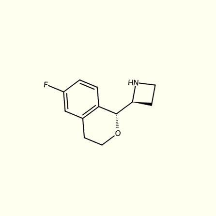 Fc1ccc2c(c1)CCO[C@H]2[C@@H]1CCN1